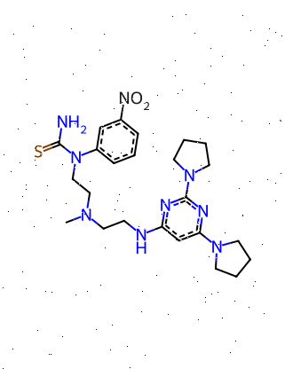 CN(CCNc1cc(N2CCCC2)nc(N2CCCC2)n1)CCN(C(N)=S)c1cccc([N+](=O)[O-])c1